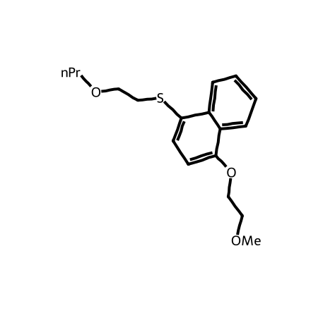 CCCOCCSc1ccc(OCCOC)c2ccccc12